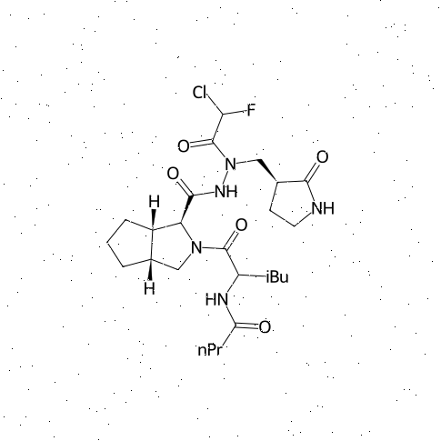 CCCC(=O)NC(C(=O)N1C[C@@H]2CCC[C@@H]2[C@H]1C(=O)NN(C[C@@H]1CCNC1=O)C(=O)C(F)Cl)C(C)CC